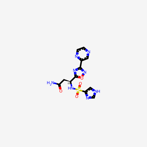 NC(=O)C[C@H](NS(=O)(=O)c1c[nH]cn1)c1nc(-c2cnccn2)no1